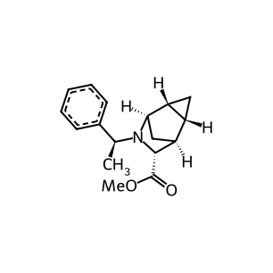 COC(=O)[C@H]1[C@H]2C[C@H]([C@@H]3C[C@@H]32)N1[C@@H](C)c1ccccc1